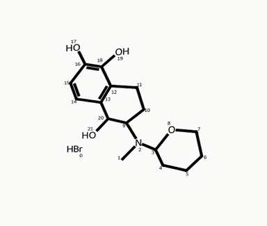 Br.CN(C1CCCCO1)C1CCc2c(ccc(O)c2O)C1O